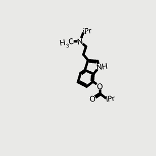 CC(C)C(=O)Oc1cccc2c(CCN(C)C(C)C)c[nH]c12